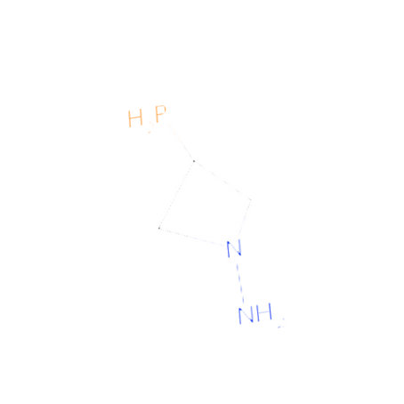 NN1CC(P)C1